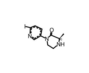 C[C@H]1NCCN(c2ccc(I)nc2)C1=O